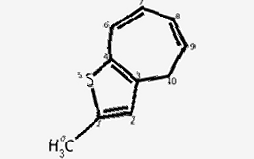 Cc1cc2c(s1)C=CC=CC2